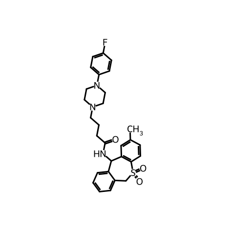 Cc1ccc2c(c1)C(NC(=O)CCCN1CCN(c3ccc(F)cc3)CC1)c1ccccc1CS2(=O)=O